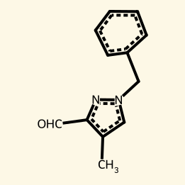 Cc1cn(Cc2ccccc2)nc1C=O